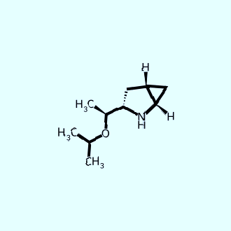 CC(C)O[C@@H](C)[C@@H]1C[C@@H]2C[C@@H]2N1